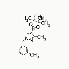 Cc1cccc(Cn2cc(B3OC(C)(C)C(C)(C)O3)c(C)n2)c1